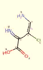 N=C(C(=O)O)/C(Cl)=C\N